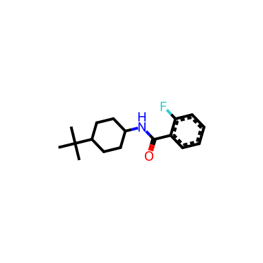 CC(C)(C)C1CCC(NC(=O)c2ccccc2F)CC1